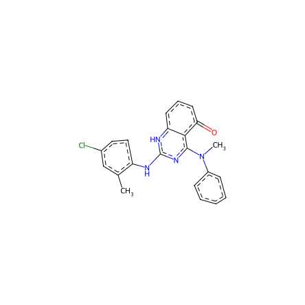 Cc1cc(Cl)ccc1Nc1nc(N(C)c2ccccc2)c2c(=O)cccc-2[nH]1